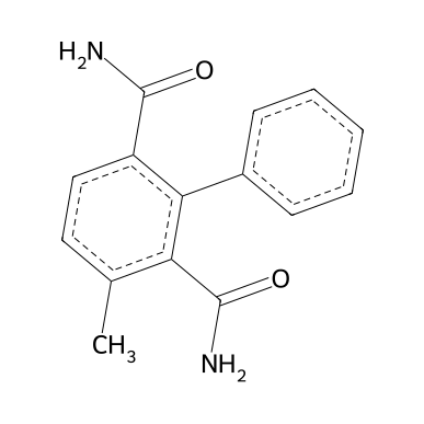 Cc1ccc(C(N)=O)c(-c2ccccc2)c1C(N)=O